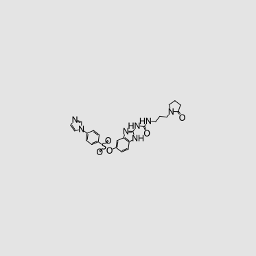 O=C(NCCCN1CCCC1=O)Nc1nc2cc(OS(=O)(=O)c3ccc(-n4ccnc4)cc3)ccc2[nH]1